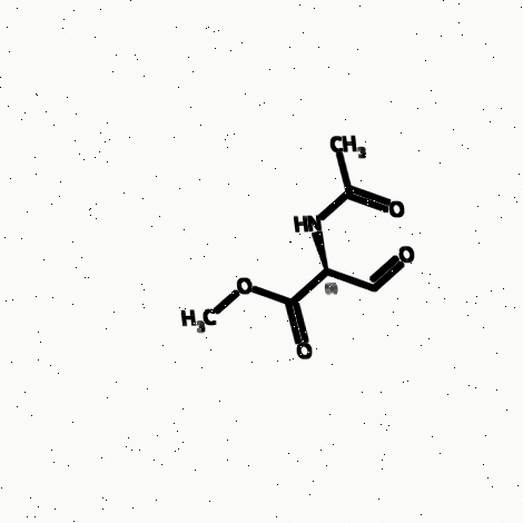 COC(=O)[C@H](C=O)NC(C)=O